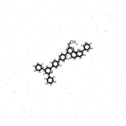 CCc1cc(-c2ccc(-c3ccc(-c4cc(-c5ccccc5)cc(-c5ccccc5)n4)cc3)cc2)c2ccc3ccc(-c4ccccc4)nc3c2n1